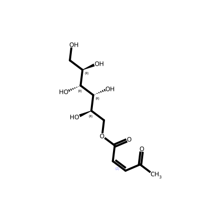 CC(=O)/C=C\C(=O)OC[C@@H](O)[C@@H](O)[C@H](O)[C@H](O)CO